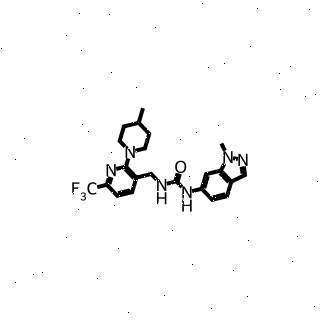 CC1CCN(c2nc(C(F)(F)F)ccc2CNC(=O)Nc2ccc3cnn(C)c3c2)CC1